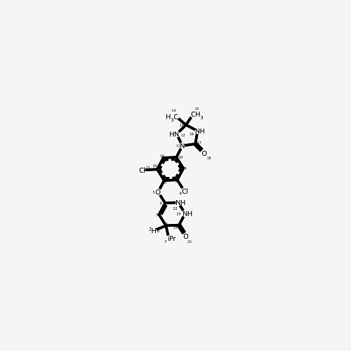 [2H]C1(C(C)C)C=C(Oc2c(Cl)cc(N3NC(C)(C)NC3=O)cc2Cl)NNC1=O